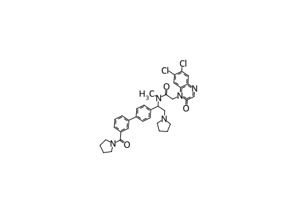 CN(C(=O)Cn1c(=O)cnc2cc(Cl)c(Cl)cc21)C(CN1CCCC1)c1ccc(-c2cccc(C(=O)N3CCCC3)c2)cc1